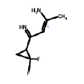 C/C(N)=C/C(=N)C1CC1(F)F